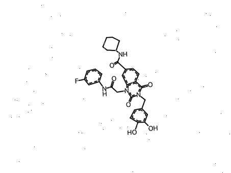 O=C(Cn1c(=O)n(Cc2ccc(O)c(O)c2)c(=O)c2ccc(C(=O)NC3CCCCC3)cc21)Nc1cccc(F)c1